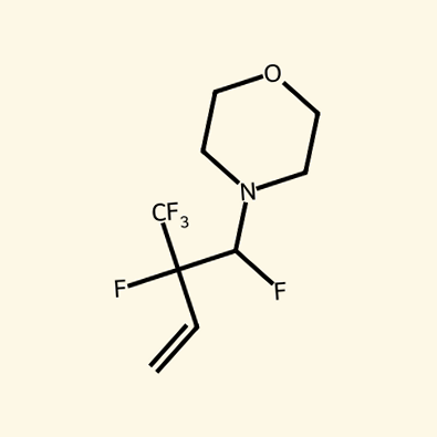 C=CC(F)(C(F)N1CCOCC1)C(F)(F)F